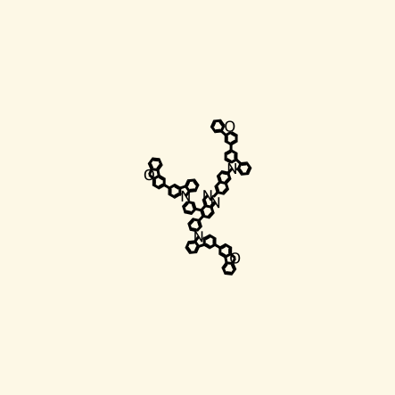 c1cc(-c2ccc3nc(-c4ccc5cc(-n6c7ccccc7c7cc(-c8ccc9oc%10ccccc%10c9c8)ccc76)ccc5c4)ncc3c2-c2cccc(-n3c4ccccc4c4cc(-c5ccc6oc7ccccc7c6c5)ccc43)c2)cc(-n2c3ccccc3c3cc(-c4ccc5oc6ccccc6c5c4)ccc32)c1